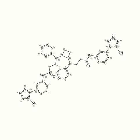 O=C(CCN(c1ccccc1)C1CCC1N(CCC(=O)Nc1cccc(-n2nnnc2S)c1)c1ccccc1)Nc1cccc(-n2nnnc2S)c1